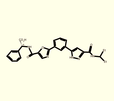 CCC(CC)NC(=O)c1cc(-c2cccc(-c3ncc(C(=O)N[C@@H](C(=O)O)c4ccccc4)o3)c2)[nH]n1